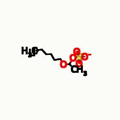 CCCCCCOC(C)OS(=O)(=O)[O-].[Li+]